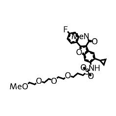 CNC(=O)c1c(-c2ccc(F)cc2)oc2cc(NS(=O)(=O)CCCOCCOCCOCCOC)c(C3CC3)cc12